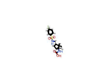 CC1(C)[C@@H](CNS(=O)(=O)c2ccc(F)cc2)CC[C@@]1(C)NC(=O)O